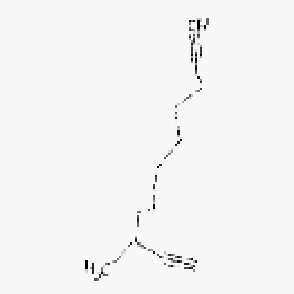 [C]#CC(C)CCCCCCC#C